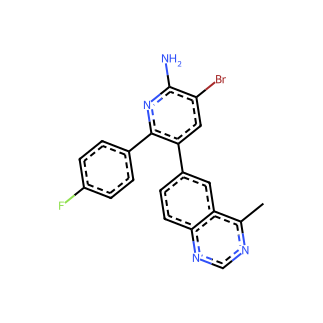 Cc1ncnc2ccc(-c3cc(Br)c(N)nc3-c3ccc(F)cc3)cc12